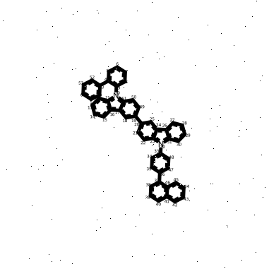 c1ccc(-c2ccccc2-n2c3ccccc3c3cc(-c4ccc5c(c4)c4ccccc4n5-c4ccc(-c5cccc6ccccc56)cc4)ccc32)cc1